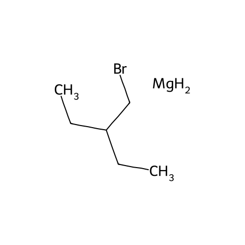 CCC(CC)CBr.[MgH2]